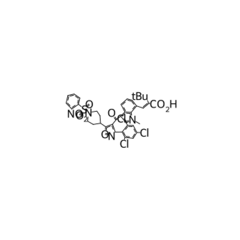 Cn1cc(C(=O)c2c(-c3c(Cl)cc(Cl)cc3Cl)noc2C2CCN(S(=O)(=O)c3ccccc3[N+](=O)[O-])CC2)c2cccc(/C=C(/C(=O)O)C(C)(C)C)c21